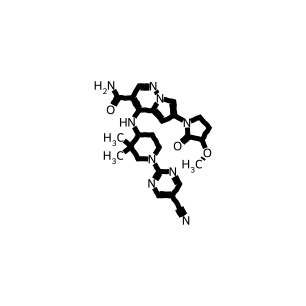 COC1CCN(c2cc3c(NC4CCN(c5ncc(C#N)cn5)CC4(C)C)c(C(N)=O)cnn3c2)C1=O